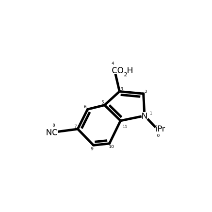 CC(C)n1cc(C(=O)O)c2cc(C#N)ccc21